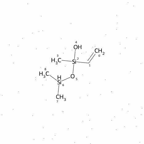 C=C[Si](C)(O)O[SiH](C)C